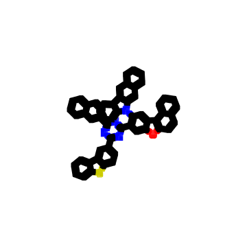 c1ccc2cc(-c3nc(-c4ccc5sc6ccccc6c5c4)nc(-c4cc5oc6ccc7ccccc7c6c5cc4-n4c5ccccc5c5cc6ccccc6cc54)n3)ccc2c1